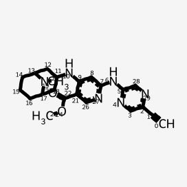 C#Cc1cnc(Nc2cc(NC3CC4CCCC(C3)N4C)c(C(=O)OC)cn2)cn1